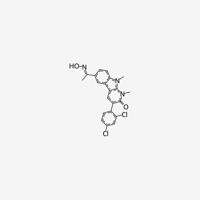 C/C(=N\O)c1ccc2c(c1)c1cc(-c3ccc(Cl)cc3Cl)c(=O)n(C)c1n2C